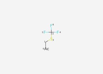 CC(=O)CSC(F)(F)F